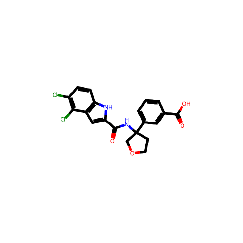 O=C(O)c1cccc(C2(NC(=O)c3cc4c(Cl)c(Cl)ccc4[nH]3)CCOC2)c1